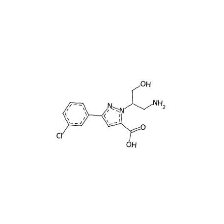 NCC(CO)n1nc(-c2cccc(Cl)c2)cc1C(=O)O